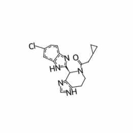 O=C(CC1CC1)N1CCc2[nH]cnc2[C@H]1c1nc2ccc(Cl)cc2[nH]1